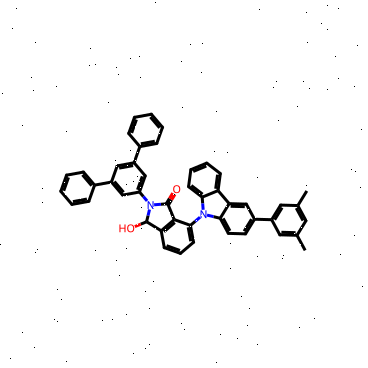 Cc1cc(C)cc(-c2ccc3c(c2)c2ccccc2n3-c2cccc3c2C(=O)N(c2cc(-c4ccccc4)cc(-c4ccccc4)c2)C3O)c1